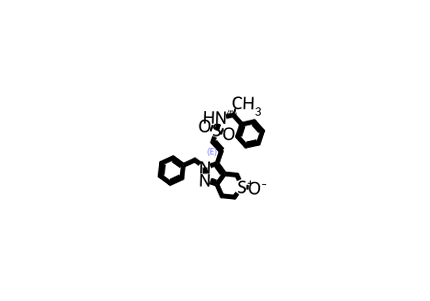 C[C@@H](NS(=O)(=O)/C=C/c1c2c(nn1Cc1ccccc1)CC[S+]([O-])C2)c1ccccc1